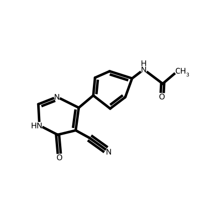 CC(=O)Nc1ccc(-c2nc[nH]c(=O)c2C#N)cc1